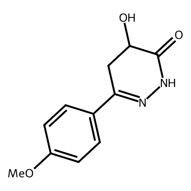 COc1ccc(C2=NNC(=O)C(O)C2)cc1